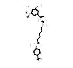 O=C(CCCCCNc1nc(-c2cc(O)c(O)c([N+](=O)[O-])c2)cs1)Nc1ccc(C(F)(F)F)cc1